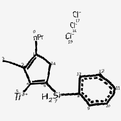 CCCC1=C(C)[C]([Ti+3])=C([SiH2]c2ccccc2)C1.[Cl-].[Cl-].[Cl-]